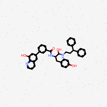 O=C(NC(Cc1ccc(O)cc1)C(O)NCCC(c1ccccc1)c1ccccc1)c1cccc(-c2cc(O)c3ncccc3c2)c1